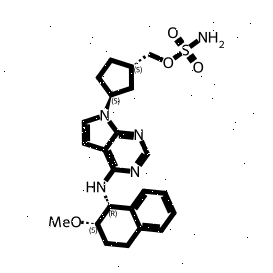 CO[C@H]1CCc2ccccc2[C@H]1Nc1ncnc2c1ccn2[C@H]1CC[C@H](COS(N)(=O)=O)C1